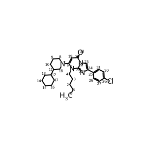 CCCCCn1c(N2CCCC(C3CCCCC3)C2)cc(=O)n2cc(-c3ccc(Cl)cc3)nc12